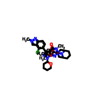 Cn1cc2c(Cl)c(-c3nn(C4CCCCO4)c4nc(N5C6CCCC5CN(C(=O)OC(C)(C)C)C6)n(C)c(=O)c34)ccc2n1